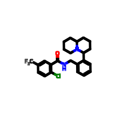 O=C(NCc1ccccc1C1CCCC2CCCCN21)c1cc(C(F)(F)F)ccc1Cl